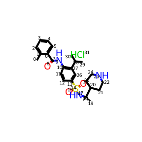 Cc1ccccc1C(=O)Nc1ccc(S(=O)(=O)N[C@H](C)C2CCNCC2)cc1C(C)C.Cl